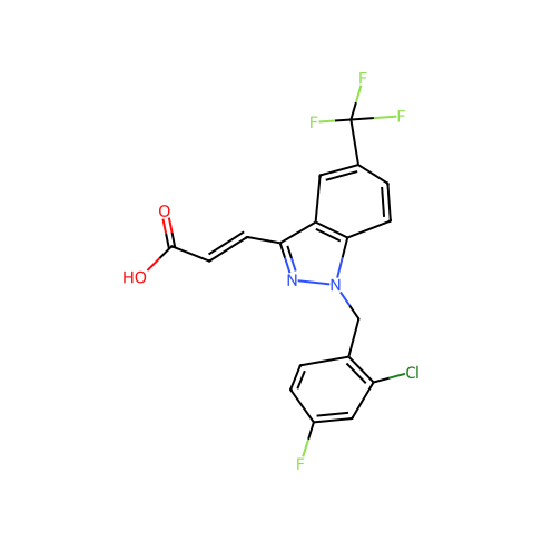 O=C(O)/C=C/c1nn(Cc2ccc(F)cc2Cl)c2ccc(C(F)(F)F)cc12